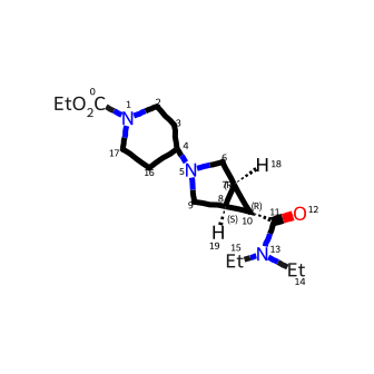 CCOC(=O)N1CCC(N2C[C@@H]3[C@H](C2)[C@H]3C(=O)N(CC)CC)CC1